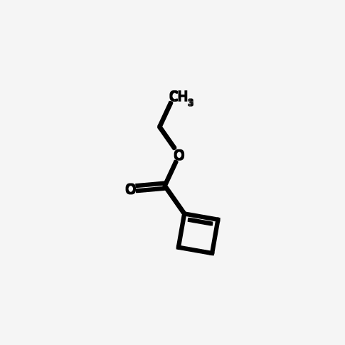 CCOC(=O)C1=CCC1